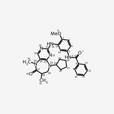 COc1ccc(NC(=O)c2ccccc2)cc1Nc1ncc2c(n1)N(C1CCCC1)CC(C)C(=O)N2C